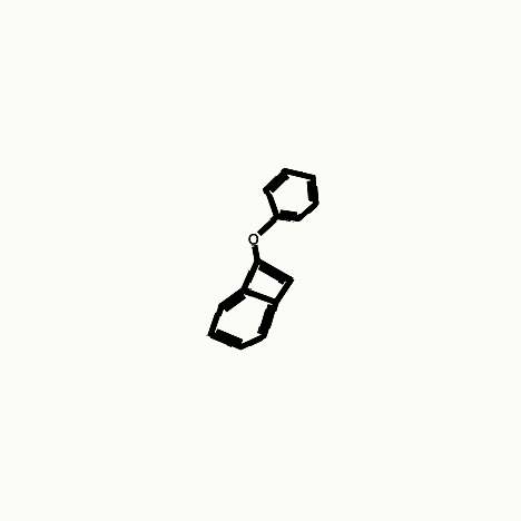 C1=C(Oc2ccccc2)c2ccccc21